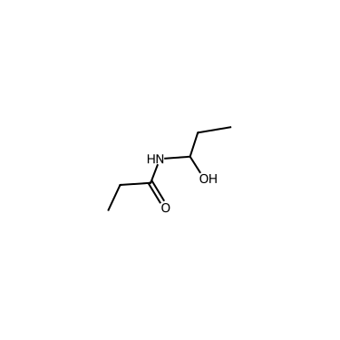 CCC(=O)NC(O)CC